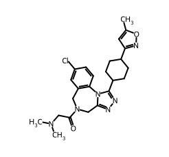 Cc1cc(C2CCC(c3nnc4n3-c3ccc(Cl)cc3CN(C(=O)CN(C)C)C4)CC2)no1